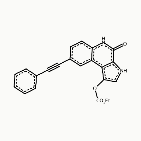 CCOC(=O)Oc1c[nH]c2c(=O)[nH]c3ccc(C#Cc4ccccc4)cc3c12